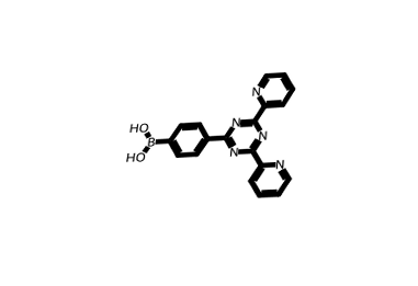 OB(O)c1ccc(-c2nc(-c3ccccn3)nc(-c3ccccn3)n2)cc1